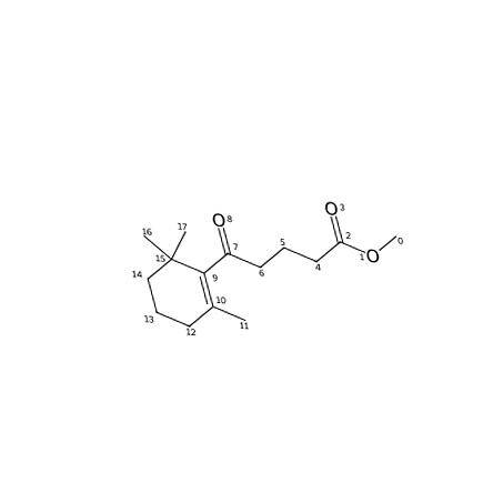 COC(=O)CCCC(=O)C1=C(C)CCCC1(C)C